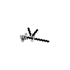 CCCCCCCCCCCCNC(=O)C(CCCNC(=N)N[N+](=O)[O-])N(CCCCCCC)CCCCCCC